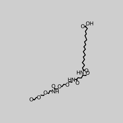 O=CCOCCOCCNC(=O)COCCOCCNC(=O)CCC(C=O)NC(=O)CCCCCCCCCCCCCCCCC(=O)O